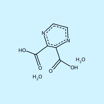 O.O.O=C(O)c1nccnc1C(=O)O